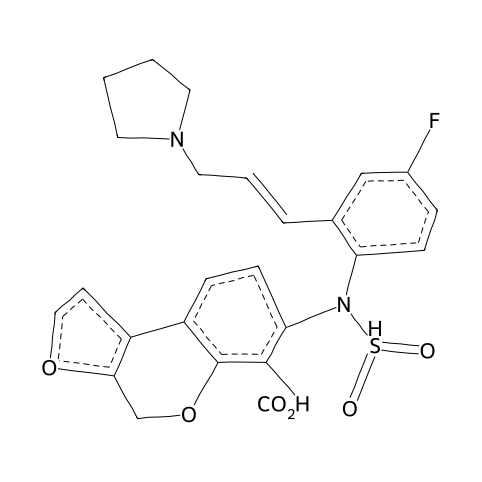 O=C(O)c1c(N(c2ccc(F)cc2C=CCN2CCCC2)[SH](=O)=O)ccc2c1OCc1occc1-2